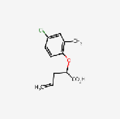 C=CCC(Oc1ccc(Cl)cc1C)C(=O)O